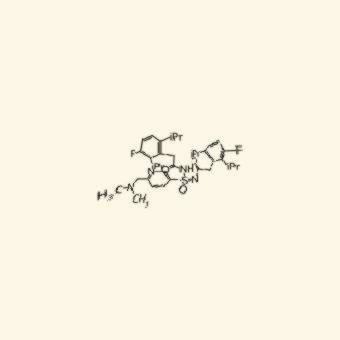 CC(C)c1ccc(F)c(C(C)C)c1CC(=O)N=S(=O)(NC(=O)Cc1c(C(C)C)ccc(F)c1C(C)C)c1ccc(CN(C)C)nc1